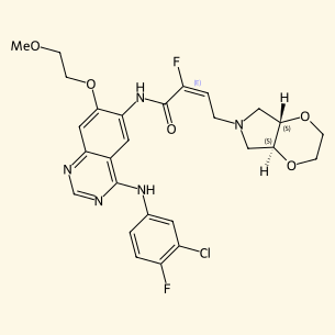 COCCOc1cc2ncnc(Nc3ccc(F)c(Cl)c3)c2cc1NC(=O)/C(F)=C\CN1C[C@@H]2OCCO[C@H]2C1